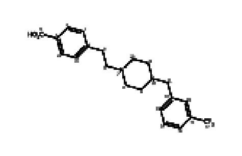 O=C(O)c1ccc(CCN2CCN(Cc3cccc(C(F)(F)F)c3)CC2)cc1